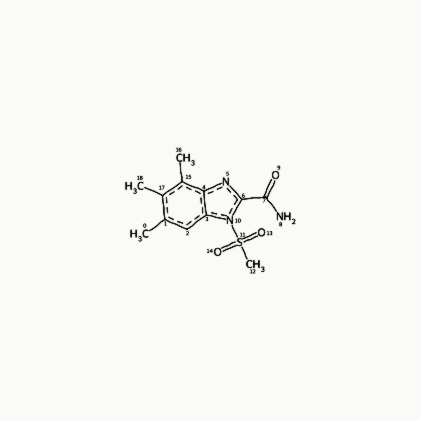 Cc1cc2c(nc(C(N)=O)n2S(C)(=O)=O)c(C)c1C